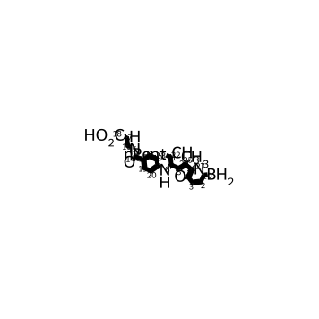 Bc1ccc2oc(C(Nc3ccc(C(=O)NCCC(=O)O)cc3)C(C)CCCCC)c(C)c2n1